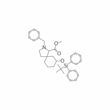 COC(=O)C1N(Cc2ccccc2)CCC12CCCC(O[Si](c1ccccc1)(c1ccccc1)C(C)(C)C)C2